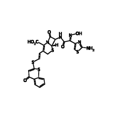 Nc1nc(C(=NO)C(=O)NC2C(=O)N3C(C(=O)O)=C(C=CSc4cc(=O)c5ccccc5s4)CS[C@@H]23)cs1